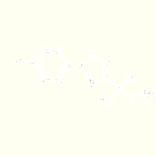 CC(C)(CN)c1csc(-c2ccc(F)cc2)n1